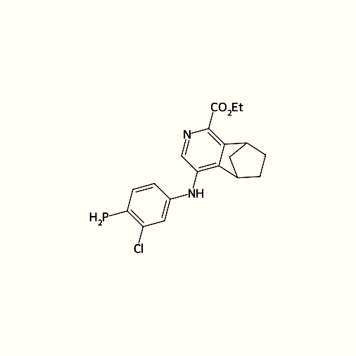 CCOC(=O)c1ncc(Nc2ccc(P)c(Cl)c2)c2c1C1CCC2C1